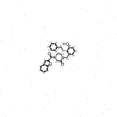 O=C(c1cc2ccccc2o1)N1CC(=O)N(Cc2cccc(O)c2)[C@@H](CCc2ccccc2)C1